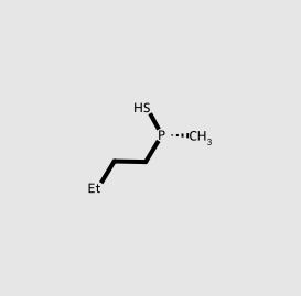 CCCC[P@@](C)S